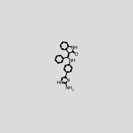 Nc1nc(-c2ccc(N/C(=C3\C(=O)Nc4ccccc43)c3ccccc3)cc2)c[nH]1